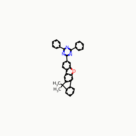 CC1(C)c2ccccc2-c2cc3oc4cc(-c5nc(-c6ccccc6)nc(-c6ccccc6)n5)ccc4c3cc21